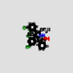 N#CC1(c2ccc(Cl)cc2F)C(c2cccc(Cl)c2F)[C@H](C(=O)O)N[C@H]1CC1(CO)CCCCC1